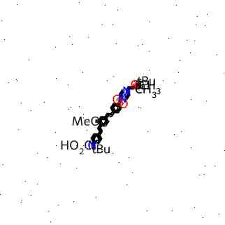 COc1cc(C=Cc2ccc(S(=O)(=O)N3CCN(CCO[Si](C)(C)C(C)(C)C)CC3)cc2)ccc1C=Cc1ccc(N(C(=O)O)C(C)(C)C)cc1